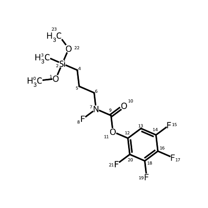 CO[Si](C)(CCCN(F)C(=O)Oc1cc(F)c(F)c(F)c1F)OC